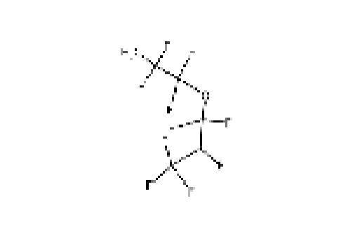 CC(F)(F)C(F)(F)OC(F)(F)C(F)C(F)(F)F